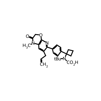 C=CCc1cc2c(nc1-c1ccc(C3(N(C(=O)O)C(C)(C)C)CCC3)cc1)OCC(=O)N2C